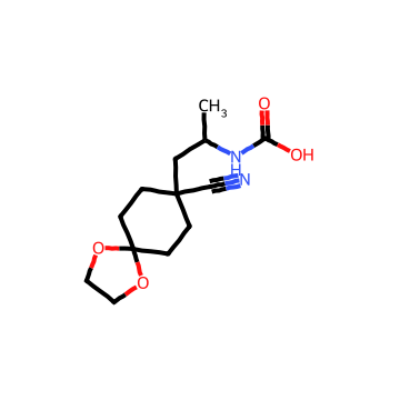 CC(CC1(C#N)CCC2(CC1)OCCO2)NC(=O)O